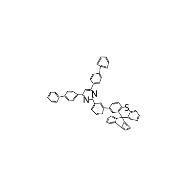 c1ccc(-c2ccc(-c3cc(-c4ccc(-c5ccccc5)cc4)nc(-c4cccc(-c5ccc6c(c5)C5(c7ccccc7S6)c6ccccc6-c6ccccc65)c4)n3)cc2)cc1